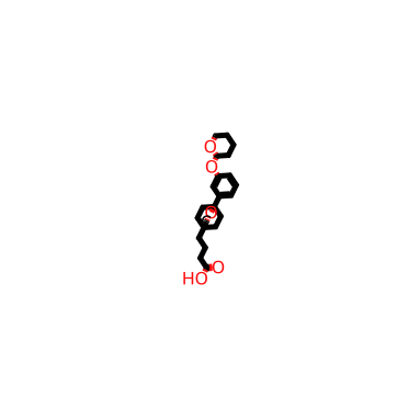 O=C(O)CCCC12CCC(c3cccc(OC4CCCCO4)c3)(CC1)OC2